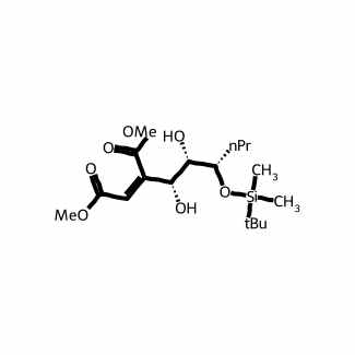 CCC[C@H](O[Si](C)(C)C(C)(C)C)[C@@H](O)[C@H](O)/C(=C/C(=O)OC)C(=O)OC